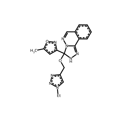 CCn1cc(COC2(c3cc(C)on3)NN=C3c4ccccc4C=NN32)nn1